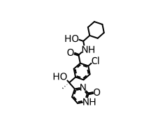 C[C@](O)(c1ccc(Cl)c(C(=O)NC(O)C2CCCCC2)c1)c1cc[nH]c(=O)n1